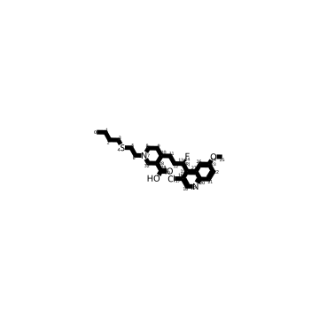 CCCCSCCN1CCC(CC[C@@H](F)c2c(Cl)cnc3ccc(OC)cc23)C(C(=O)O)C1